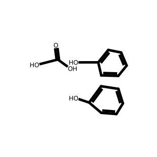 O=C(O)O.Oc1ccccc1.Oc1ccccc1